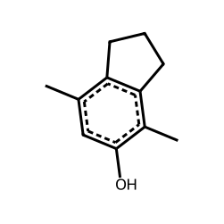 Cc1cc(O)c(C)c2c1CCC2